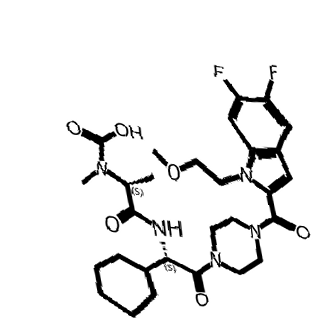 COCCn1c(C(=O)N2CCN(C(=O)[C@@H](NC(=O)[C@H](C)N(C)C(=O)O)C3CCCCC3)CC2)cc2cc(F)c(F)cc21